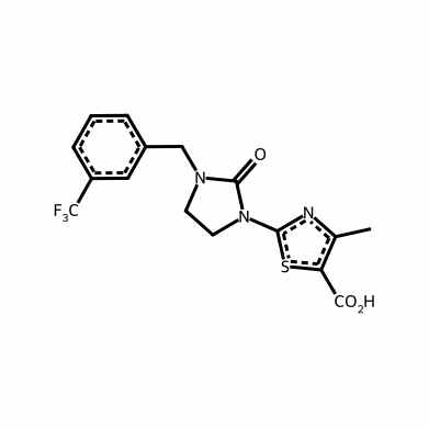 Cc1nc(N2CCN(Cc3cccc(C(F)(F)F)c3)C2=O)sc1C(=O)O